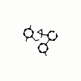 Clc1cccc(-c2ccncc2C2(OCc3cc(Cl)ccc3Cl)CC2)c1